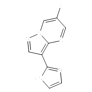 Fc1cnc2c(-c3ncc[nH]3)cnn2c1